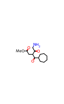 COC(=O)CC(C(=O)CN)C(=O)C1CCCCCC1